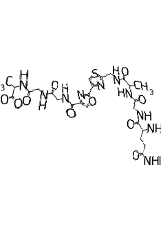 CC(NC(=O)CNC(=O)CNC(=O)c1coc(-c2csc(CNC(=O)C(C)NC(=O)CNC(=O)C(N)CCC(N)=O)n2)n1)C(=O)O